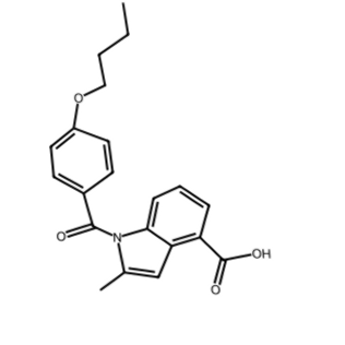 CCCCOc1ccc(C(=O)n2c(C)cc3c(C(=O)O)cccc32)cc1